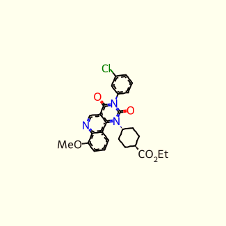 CCOC(=O)[C@H]1CC[C@H](n2c(=O)n(-c3cccc(Cl)c3)c(=O)c3cnc4c(OC)cccc4c32)CC1